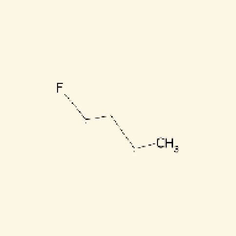 C[CH]C[CH]F